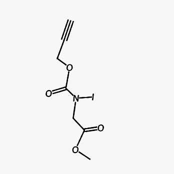 C#CCOC(=O)N(I)CC(=O)OC